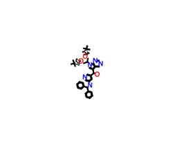 CC(C)(C)[Si](C)(C)OCC(CO[Si](C)(C)C(C)(C)C)n1cc(C(=O)c2cncc(N=C(c3ccccc3)c3ccccc3)c2)c2cncnc21